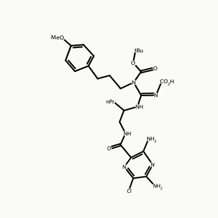 CCCC(CNC(=O)c1nc(Cl)c(N)nc1N)N/C(=N/C(=O)O)N(CCCc1ccc(OC)cc1)C(=O)OC(C)(C)C